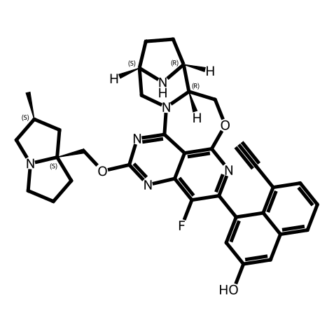 C#Cc1cccc2cc(O)cc(-c3nc4c5c(nc(OC[C@@]67CCCN6C[C@@H](C)C7)nc5c3F)N3C[C@@H]5CC[C@@H](N5)[C@@H]3CO4)c12